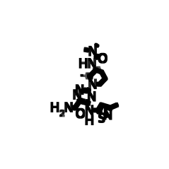 Cc1cc(Nc2nc(N3CCC[C@@H](NC(=O)N(C)C)[C@H]3C)nnc2C(N)=O)sn1